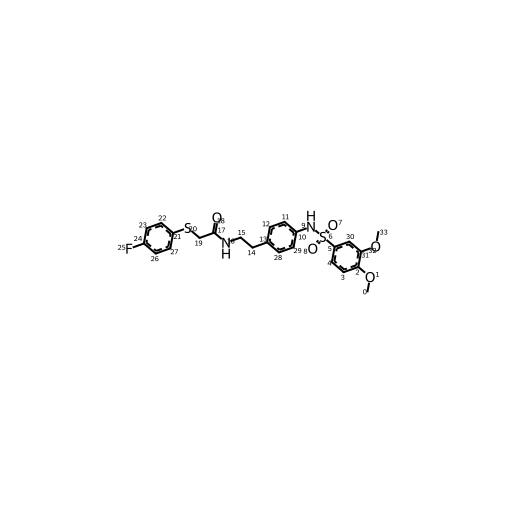 COc1ccc(S(=O)(=O)Nc2ccc(CCNC(=O)CSc3ccc(F)cc3)cc2)cc1OC